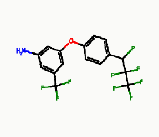 Nc1cc(Oc2ccc(C(F)C(F)(F)C(F)(F)F)cc2)cc(C(F)(F)F)c1